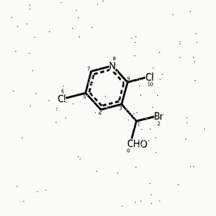 O=CC(Br)c1cc(Cl)cnc1Cl